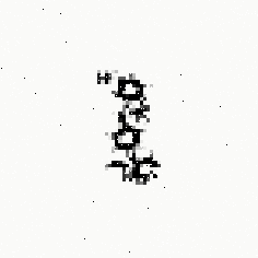 Cc1nc2cnccc2n1-c1ccc(Cn2c(=O)sc3ccc(C#N)cc32)cc1